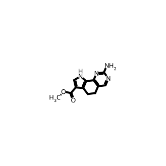 COC(=O)c1c[nH]c2c1CCc1cnc(N)nc1-2